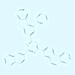 c1ccc(-c2cc(-c3nc(-c4ccc5ccccc5c4)nc(-c4ccc5c(ccc6ccccc65)c4)n3)cc3oc4ccccc4c23)cc1